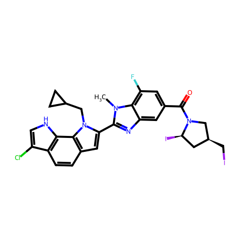 Cn1c(-c2cc3ccc4c(Cl)c[nH]c4c3n2CC2CC2)nc2cc(C(=O)N3C[C@@H](CI)C[C@H]3I)cc(F)c21